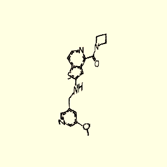 COc1cncc(CNc2cc3c(C(=O)N4CCC4)nccc3s2)c1